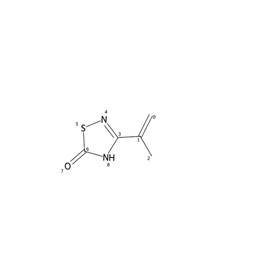 C=C(C)c1nsc(=O)[nH]1